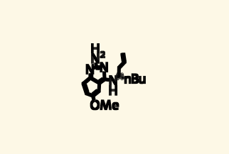 C=CC[C@H](CCCC)Nc1nc(N)nc2ccc(OC)cc12